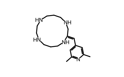 Cc1cc(C=C2CNCCCNCCNCCCN2)cc(C)n1